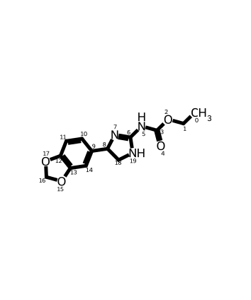 CCOC(=O)NC1=NC(c2ccc3c(c2)OCO3)CN1